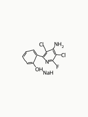 Nc1c(Cl)c(F)nc(-c2ccccc2O)c1Cl.[NaH]